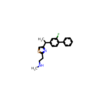 CNCCc1nc(C(C)c2ccc(-c3ccccc3)c(F)c2)cs1